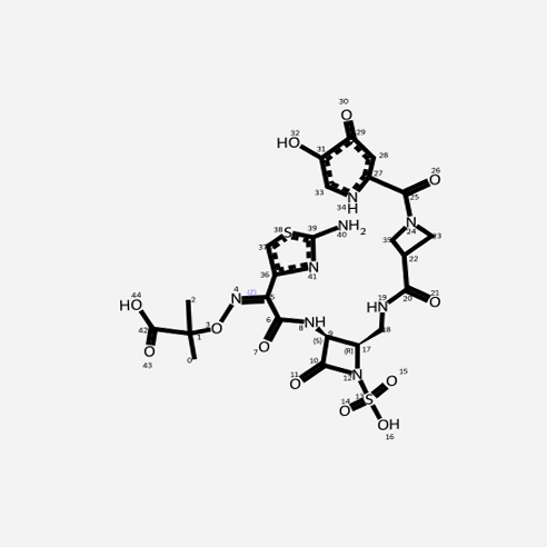 CC(C)(O/N=C(\C(=O)N[C@@H]1C(=O)N(S(=O)(=O)O)[C@@H]1CNC(=O)C1CN(C(=O)c2cc(=O)c(O)c[nH]2)C1)c1csc(N)n1)C(=O)O